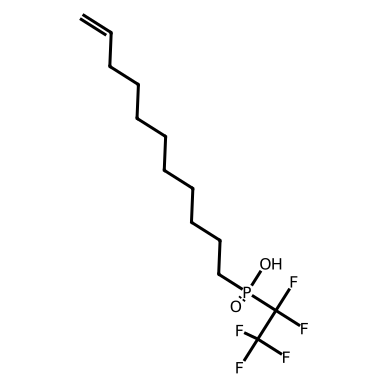 C=CCCCCCCCCCP(=O)(O)C(F)(F)C(F)(F)F